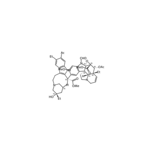 CCc1cc2c3c([nH]c2cc1C(C)=O)[C@@](C(=O)OC)(c1cc2c(cc1OC)N(C=O)[C@@]14O[C@]1(C(=O)OC)[C@H](OC(C)=O)[C@]1(CC)C=CCN5CC[C@]24[C@@H]51)C[C@@H]1CN(CC3)C[C@](O)(CC)C1